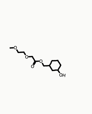 COCCOCC(=O)OCC1CCCC(O)C1